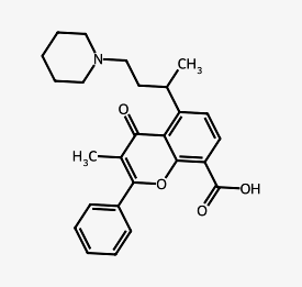 Cc1c(-c2ccccc2)oc2c(C(=O)O)ccc(C(C)CCN3CCCCC3)c2c1=O